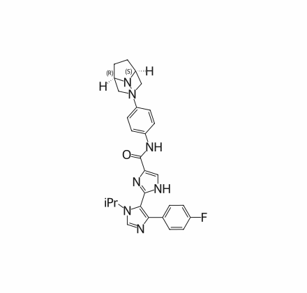 CC(C)n1cnc(-c2ccc(F)cc2)c1-c1nc(C(=O)Nc2ccc(N3C[C@H]4CC[C@@H](C3)N4C)cc2)c[nH]1